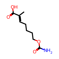 C/C(=C\CCCCOC(N)=O)C(=O)O